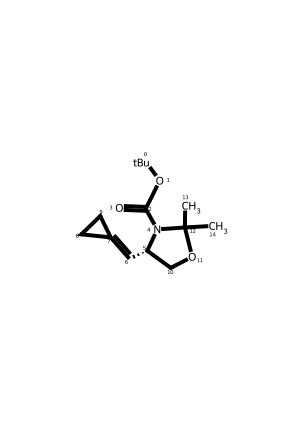 CC(C)(C)OC(=O)N1[C@@H](C=C2CC2)COC1(C)C